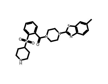 Cc1ccc2nc(N3CCN(C(=O)c4ccccc4S(=O)(=O)C4CCNCC4)CC3)sc2c1